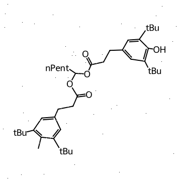 CCCCCC(OC(=O)CCc1cc(C(C)(C)C)c(C)c(C(C)(C)C)c1)OC(=O)CCc1cc(C(C)(C)C)c(O)c(C(C)(C)C)c1